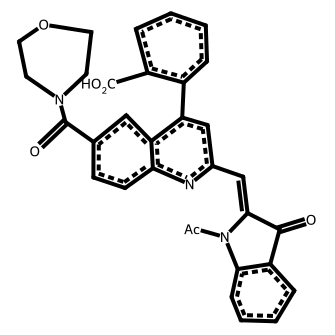 CC(=O)N1/C(=C\c2cc(-c3ccccc3C(=O)O)c3cc(C(=O)N4CCOCC4)ccc3n2)C(=O)c2ccccc21